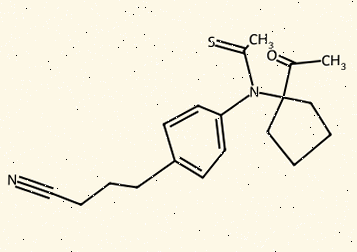 CC(=O)C1(N(C(C)=S)c2ccc(CCCC#N)cc2)CCCC1